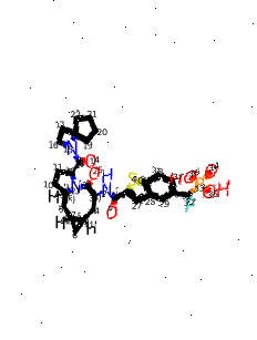 O=C(N[C@H]1C[C@@H]2C[C@@H]2C[C@H]2CC[C@@H](C(=O)N3CCC34CCCC4)N2C1=O)c1cc2cc(C(F)P(=O)(O)O)ccc2s1